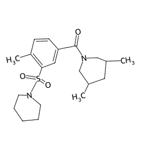 Cc1ccc(C(=O)N2CC(C)CC(C)C2)cc1S(=O)(=O)N1CCCCC1